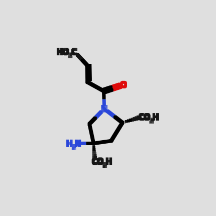 N[C@]1(C(=O)O)C[C@@H](C(=O)O)N(C(=O)C=CC(=O)O)C1